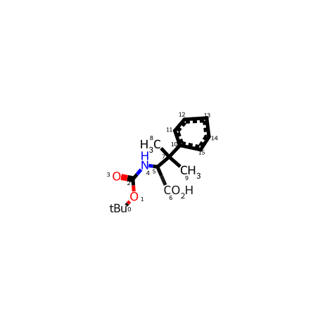 CC(C)(C)OC(=O)NC(C(=O)O)C(C)(C)c1ccccc1